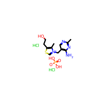 Cc1ncc(C[n+]2csc(CCO)c2C)c(N)n1.Cl.Cl.O=P([O-])(O)O